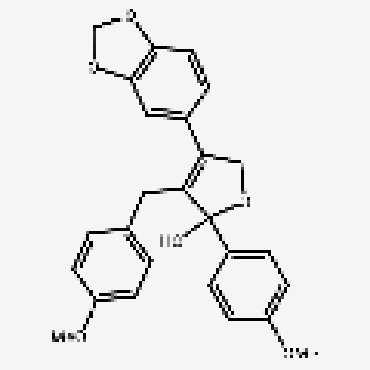 COc1ccc(CC2=C(c3ccc4c(c3)OCO4)COC2(O)c2ccc(OC)cc2)cc1